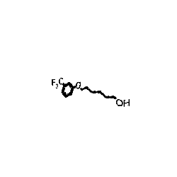 OCCCCCCOc1cccc(C(F)(F)F)c1